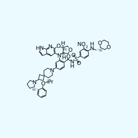 CC(C)Oc1ccccc1[C@@H]1CCCN1C1CC2(CCN(c3ccc(C(=O)NS(=O)(=O)c4ccc(NC[C@H]5COCCO5)c([N+](=O)[O-])c4)c(N4c5cc6cc[nH]c6nc5O[C@@H]5COC[C@H]54)c3)CC2)C1